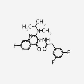 CC(C)N(C)c1nc2cc(F)ccc2c(=O)n1NC(=O)Cc1cc(F)cc(F)c1